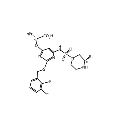 CCC[C@@H](Oc1cc(NS(=O)(=O)N2CCN[C@H](CC)C2)nc(SCc2cccc(F)c2F)n1)C(=O)O